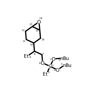 CCCCO[Si](CC)(OCCCC)OCC(CC)C1CCC2OC2C1